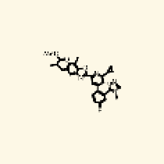 COC(=O)C(C)Cc1cc(C)c2oc(-c3cc(-c4ccc(F)cc4-c4nncn4C)cc(C4CC4)n3)nc2c1